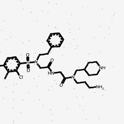 Cc1c(Cl)ccc(S(=O)(=O)N(CCc2ccccc2)CC(=O)NCC(=O)N(CCCN)CC2CCNCC2)c1Cl